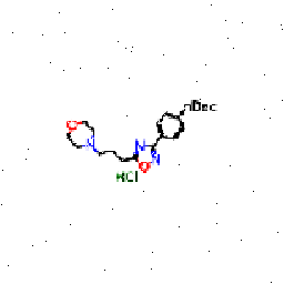 CCCCCCCCCCc1ccc(-c2noc(CCCN3CCOCC3)n2)cc1.Cl